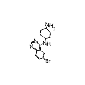 NC1CCC(Nc2ncnc3ccc(Br)cc23)CC1